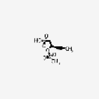 CC#CC(CS(=O)(=O)O)OS(C)(=O)=O